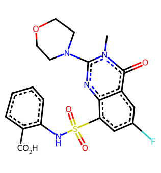 Cn1c(N2CCOCC2)nc2c(S(=O)(=O)Nc3ccccc3C(=O)O)cc(F)cc2c1=O